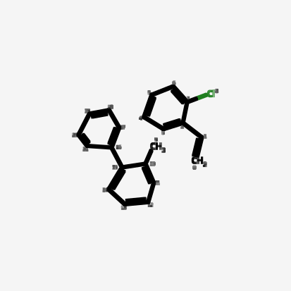 C=Cc1ccccc1Cl.Cc1ccccc1-c1ccccc1